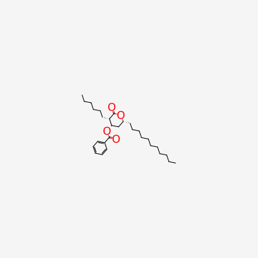 CCCCCCCCCCC[C@@H]1C[C@H](OC(=O)c2ccccc2)[C@H](CCCCCC)C(=O)O1